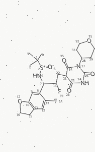 CC(C)(C)[S@@+]([O-])NC(c1cc2c(cc1F)CCO2)C(F)CC1C(=O)NC(=O)N(C2CCOCC2)C1=O